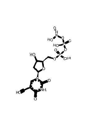 C#Cc1cn([C@H]2CC(O)[C@@H](COP(=O)(O)OP(=O)(O)O[PH](=O)O)O2)c(=O)[nH]c1=O